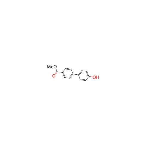 COC(=O)c1ccc(-c2ccc(O)cc2)cc1